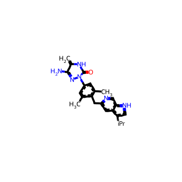 C=C1NC(=O)N(c2cc(C)c(Cc3cc4c(C(C)C)c[nH]c4cn3)c(C)c2)N=C1N